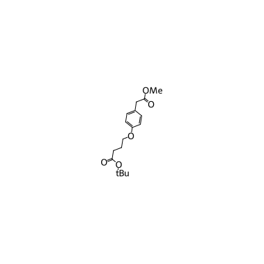 COC(=O)Cc1ccc(OCCCC(=O)OC(C)(C)C)cc1